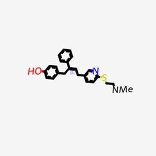 CNCCSc1ccc(C/C=C(\Cc2ccc(O)cc2)c2ccccc2)cn1